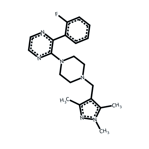 Cc1nn(C)c(C)c1CN1CCN(c2nccnc2-c2ccccc2F)CC1